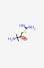 Br.Br.CC(C)(N)CCSC(=N)N